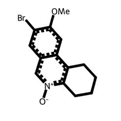 COc1cc2c3c([n+]([O-])cc2cc1Br)CCCC3